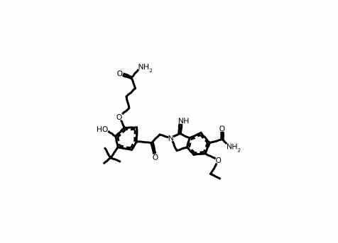 CCOc1cc2c(cc1C(N)=O)C(=N)N(CC(=O)c1cc(OCCCC(N)=O)c(O)c(C(C)(C)C)c1)C2